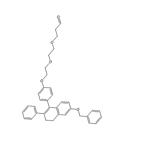 O=CCCOCCOCCOc1ccc(C2=C(c3ccccc3)CCc3cc(OCc4ccccc4)ccc32)cc1